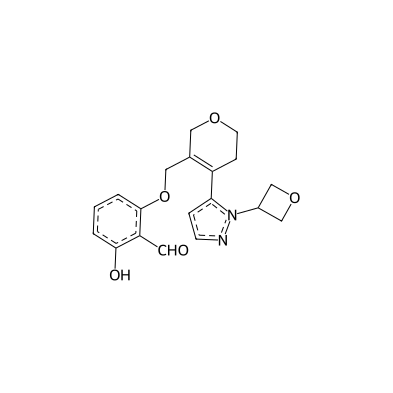 O=Cc1c(O)cccc1OCC1=C(c2ccnn2C2COC2)CCOC1